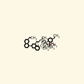 C=Cc1ccc([Si](C[Si](C)(C)C)(C[Si](C)(C)C)C[Si](C)(C)C/C=C/c2cc(-c3cccc4ccc(C=C)cc34)cc3ccccc23)cc1